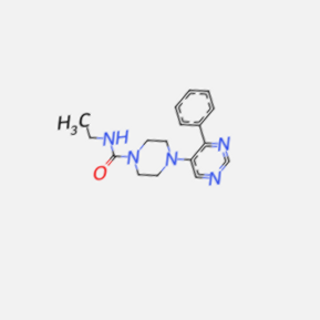 CCNC(=O)N1CCN(c2cncnc2-c2ccccc2)CC1